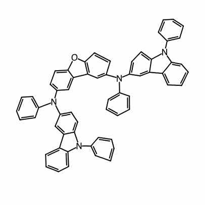 c1ccc(N(c2ccc3oc4ccc(N(c5ccccc5)c5ccc6c(c5)c5ccccc5n6-c5ccccc5)cc4c3c2)c2ccc3c(c2)c2ccccc2n3-c2ccccc2)cc1